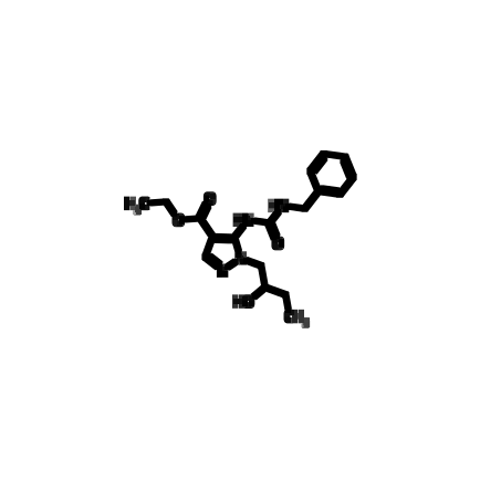 CCOC(=O)c1cnn(CC(O)CC)c1NC(=O)NCc1ccccc1